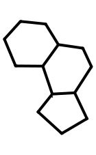 C1C[C]2C(C1)CCC1CCCCC21